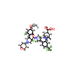 CC[C@H]1CN(C(=O)[C@]2(F)CN(C3CCOCC3)C[C@H]2c2ccc(OC)cc2F)C[C@@H]1c1ccc(C(F)(F)F)cc1N1CCC(C(=O)O)CC1